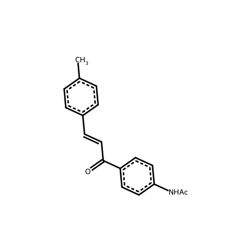 CC(=O)Nc1ccc(C(=O)C=Cc2ccc(C)cc2)cc1